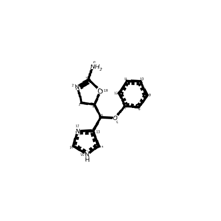 NC1=NCC(C(Oc2ccccc2)c2c[nH]cn2)O1